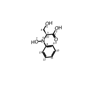 O=C(O)[C@H](CO)N(O)c1ccccc1